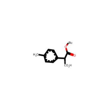 CCC(C)OC(=O)C(C(=O)O)c1ccc(C)cc1